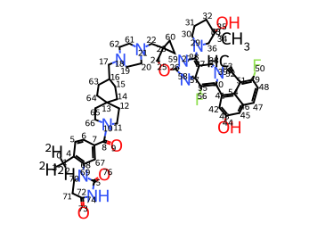 [2H]C([2H])([2H])c1ccc(C(=O)N2CCC3(CCC(CN4CCN(CC5(COc6nc(N7CCC[C@@](C)(O)C7)c7cnc(-c8cc(O)cc9ccc(F)c(C#C)c89)c(F)c7n6)CC5)CC4)CC3)CC2)cc1N1CCC(=O)NC1=O